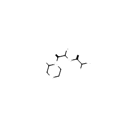 CNC(C)C(=O)NC(C(=O)N1CCNCC1C(=O)O)C(C)C